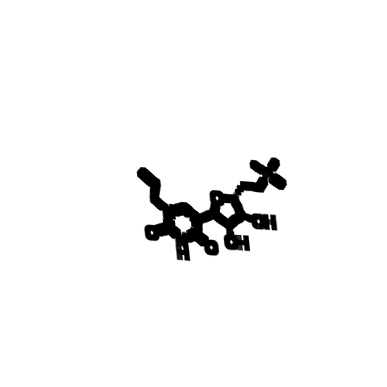 C=CCn1cc(C2O[C@H](CCP(=C)(C)C)[C@@H](O)[C@H]2O)c(=O)[nH]c1=O